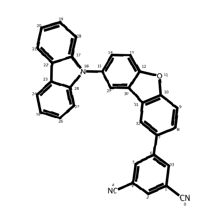 N#Cc1cc(C#N)cc(-c2ccc3oc4ccc(-n5c6ccccc6c6ccccc65)cc4c3c2)c1